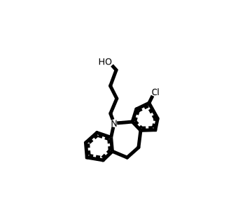 OCCCCN1c2ccccc2CCc2ccc(Cl)cc21